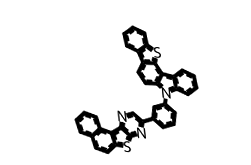 c1cc(-c2cnc3c(n2)sc2ccc4ccccc4c23)cc(-n2c3ccccc3c3c4sc5ccccc5c4ccc32)c1